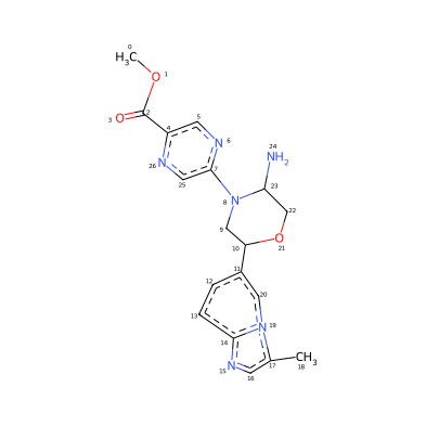 COC(=O)c1cnc(N2CC(c3ccc4ncc(C)n4c3)OCC2N)cn1